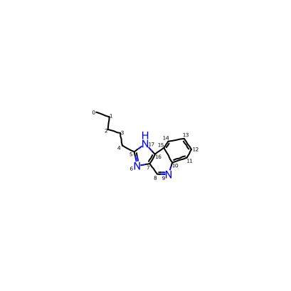 CCCCCc1nc2cnc3ccccc3c2[nH]1